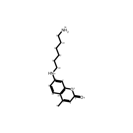 Cc1cc(=O)oc2cc(NCCCCCCN)ccc12